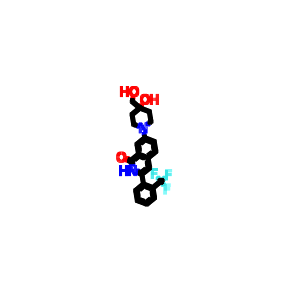 O=c1[nH]c(-c2ccccc2C(F)(F)F)cc2ccc(N3CCC(O)(CO)CC3)cc12